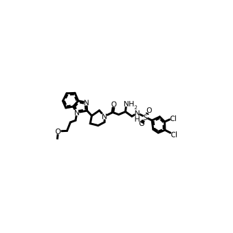 COCCCn1c(C2CCCN(C(=O)CC(N)CNS(=O)(=O)c3ccc(Cl)c(Cl)c3)C2)nc2ccccc21